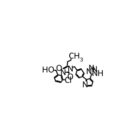 CCCc1cn(-c2c(Cl)cccc2C(=O)O)c(=O)n1Cc1ccc(-c2ncccc2-c2nnn[nH]2)cc1